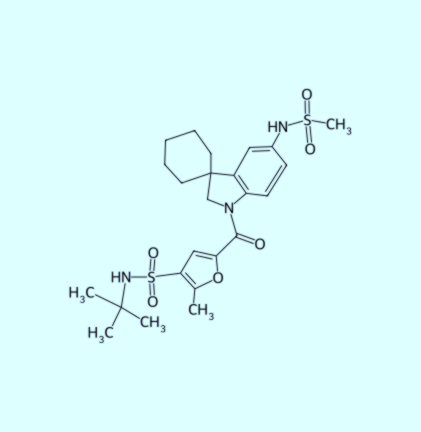 Cc1oc(C(=O)N2CC3(CCCCC3)c3cc(NS(C)(=O)=O)ccc32)cc1S(=O)(=O)NC(C)(C)C